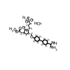 COC(=O)C[C@@H]1C[C@@H](COc2ccc(-c3ccc(C(=N)N)cc3)cc2)N(CCCS(C)(=O)=O)C1=O.Cl